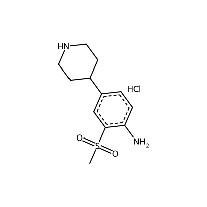 CS(=O)(=O)c1cc(C2CCNCC2)ccc1N.Cl